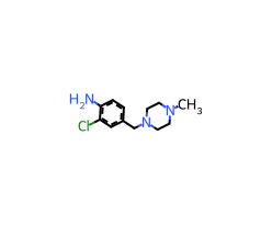 CN1CCN(Cc2ccc(N)c(Cl)c2)CC1